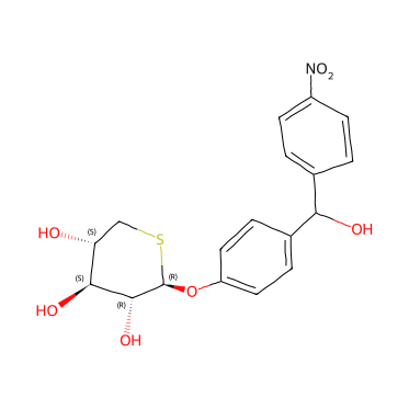 O=[N+]([O-])c1ccc(C(O)c2ccc(O[C@@H]3SC[C@@H](O)[C@H](O)[C@H]3O)cc2)cc1